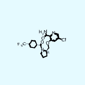 NC(=O)c1ncc(Cl)cc1OC[C@H]1CCCN1C(=O)[C@H]1CC[C@@H](C(F)(F)F)CC1